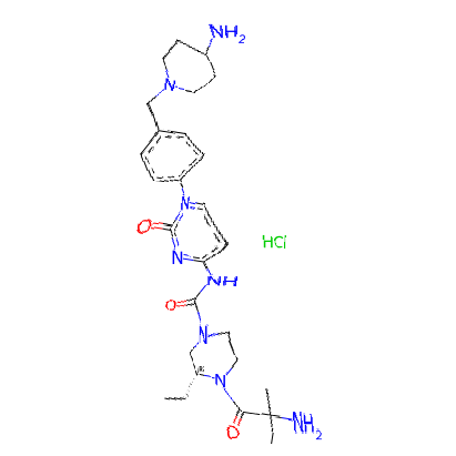 CC[C@@H]1CN(C(=O)Nc2ccn(-c3ccc(CN4CCC(N)CC4)cc3)c(=O)n2)CCN1C(=O)C(C)(C)N.Cl